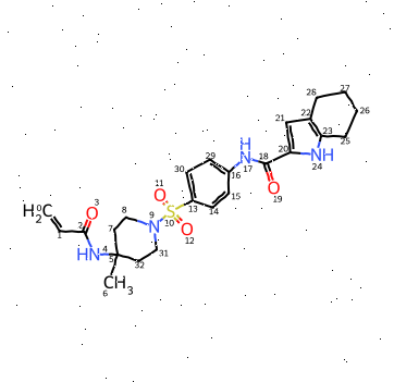 C=CC(=O)NC1(C)CCN(S(=O)(=O)c2ccc(NC(=O)c3cc4c([nH]3)CCCC4)cc2)CC1